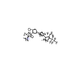 C/N=C\C1(NC(=O)c2cc(-n3cnc(-c4c(C(F)(F)F)c(C(F)(F)C(F)(F)F)nn4C)n3)ccc2Cl)CC1